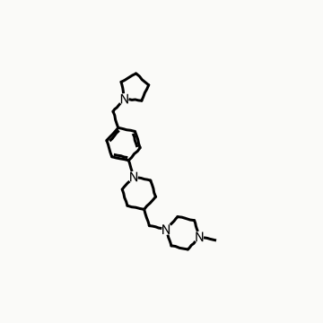 CN1CCN(CC2CCN(c3ccc(CN4CCCC4)cc3)CC2)CC1